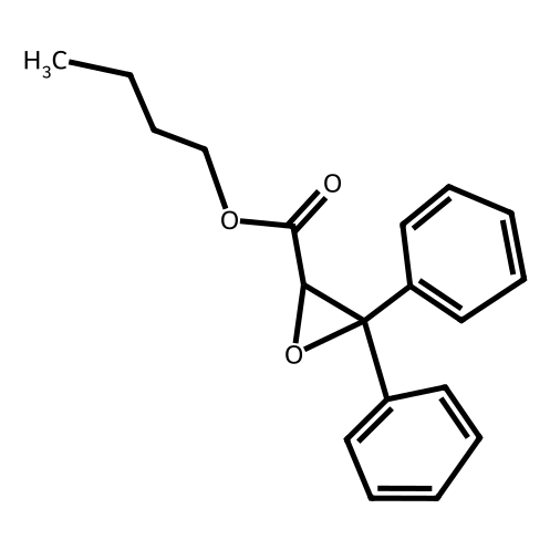 CCCCOC(=O)C1OC1(c1ccccc1)c1ccccc1